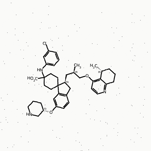 C[C@@H](COc1ccnc2c1[C@H](C)CCC2)C[C@H]1Cc2ccc(O[C@H]3CCCNC3)cc2C12CCC(Nc1cccc(Cl)c1)(C(=O)O)CC2